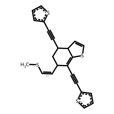 CS/C=C\C1CC(C#Cc2cccs2)C2C=CSC2=C1C#Cc1cccs1